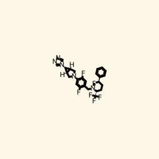 Fc1cc(N2C[C@@H]3[C@H](C2)[C@H]3n2cnnc2)c(F)cc1CN1S[C@@H](c2ccccc2)CC[C@@H]1C(F)(F)F